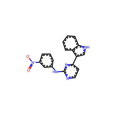 O=[N+]([O-])c1cccc(Nc2nccc(-c3c[nH]c4ccccc34)n2)c1